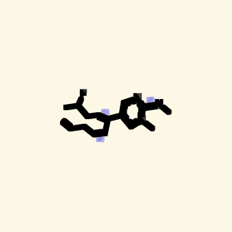 C=CC/C=C\C(=C/CC(C)F)c1cn/c(=N/C)n(C)c1